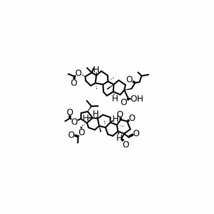 CC(=O)OC[C@@]12CC[C@]3(C)[C@H](CC[C@@H]4[C@@]5(C)C(=O)C(=O)CC(C=O)(C=O)[C@@H]5CC[C@]43C)[C@H]1[C@H](C(C)C)CC2OC(C)=O.CC(=O)O[C@H]1CC[C@]2(C)C3CC[C@@H]4C[C@@](CC(=O)CC(C)C)(C(=O)O)CC[C@@]4(C)[C@]3(C)CC[C@H]2C1(C)C